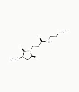 CSC1CC(=O)N(CCC(=O)NCCNC(C)=O)C1=O